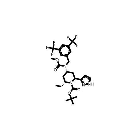 CC[C@@H]1C[C@H](N(Cc2cc(C(F)(F)F)cc(C(F)(F)F)c2)C(=O)OC)CC(c2cc[nH]n2)N1C(=O)OC(C)(C)C